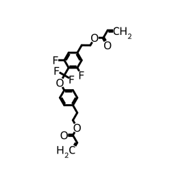 C=CC(=O)OCCc1ccc(OC(F)(F)c2c(F)cc(CCOC(=O)C=C)cc2F)cc1